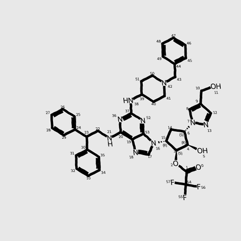 O=C(O[C@@H]1[C@H](O)[C@@H](n2cc(CO)cn2)C[C@H]1n1cnc2c(NCC(c3ccccc3)c3ccccc3)nc(NC3CCN(Cc4ccccc4)CC3)nc21)C(F)(F)F